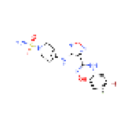 NS(=O)(=O)N1CC2CC1CC2Nc1nonc1C(=NO)Nc1ccc(F)c(Br)c1